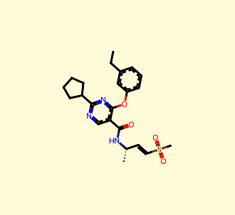 CCc1cccc(Oc2nc(C3CCCC3)ncc2C(=O)N[C@@H](C)/C=C/S(C)(=O)=O)c1